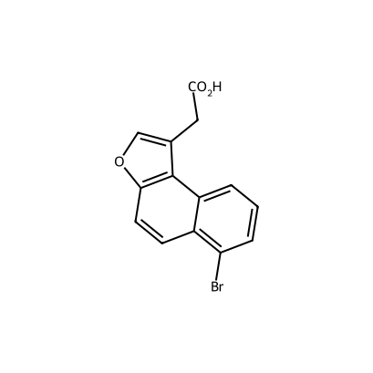 O=C(O)Cc1coc2ccc3c(Br)cccc3c12